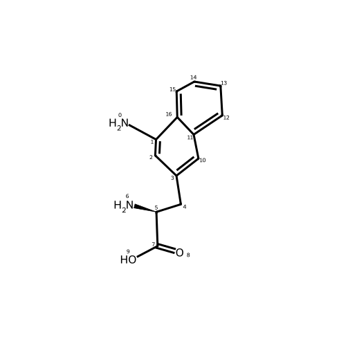 Nc1cc(C[C@H](N)C(=O)O)cc2ccccc12